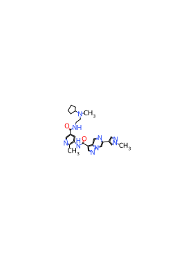 Cc1ncc(C(=O)NCCN(C)C2CCCC2)cc1NC(=O)c1cnn2cc(-c3cnn(C)c3)ncc12